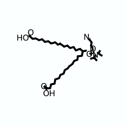 CC(C)N(C(C)C)P(OCCC#N)OCC(CCCCCCCCCCCCCCCCC(=O)O)CCCCCCCCCCCCCCCC(=O)O